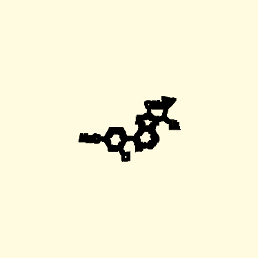 CCC(C1CC1)n1c(OC)nc2c(-c3ccc(OC)cc3Cl)nccc21